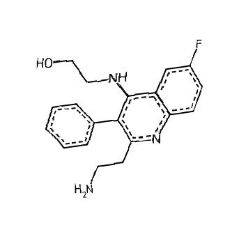 NCCc1nc2ccc(F)cc2c(NCCO)c1-c1ccccc1